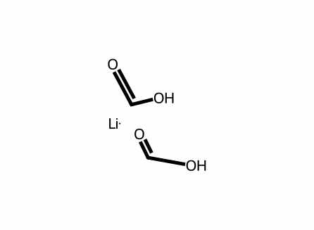 O=CO.O=CO.[Li]